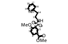 COC(=O)c1ccc(OC)c(S(=O)(=O)NCCc2ccccn2)c1